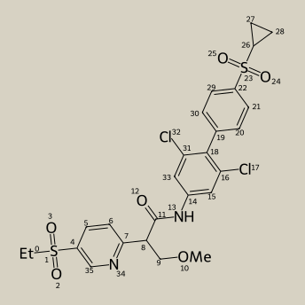 CCS(=O)(=O)c1ccc(C(COC)C(=O)Nc2cc(Cl)c(-c3ccc(S(=O)(=O)C4CC4)cc3)c(Cl)c2)nc1